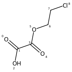 O=C(O)C(=O)OCCCl